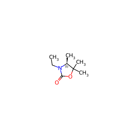 CCN1C(=O)OC(C)(C)[C@@H]1C